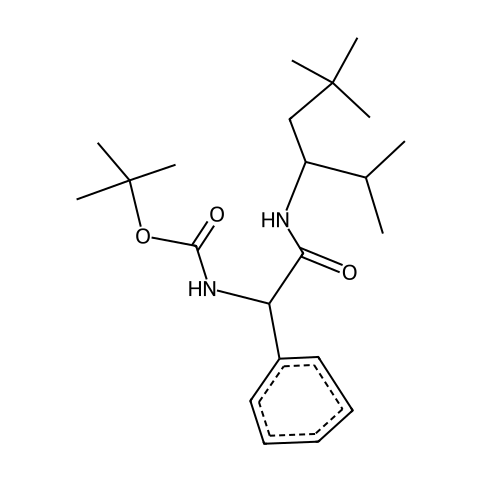 CC(C)C(CC(C)(C)C)NC(=O)C(NC(=O)OC(C)(C)C)c1ccccc1